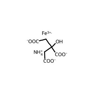 O=C([O-])CC(O)(CC(=O)[O-])C(=O)[O-].[Fe+3].[NH4+]